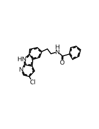 O=C(NCCc1ccc2[nH]c3ncc(Cl)cc3c2c1)c1ccccc1